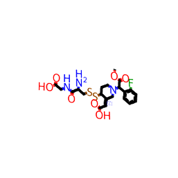 COC(=O)C(c1ccccc1F)N1CCC(SSCC(N)C(=O)NCC(=O)O)/C(=C\C(=O)O)C1